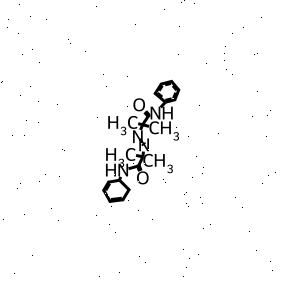 CC(C)(N=NC(C)(C)C(=O)NC1C=CC=CC1)C(=O)Nc1ccccc1